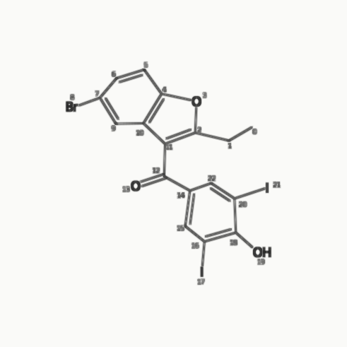 CCc1oc2ccc(Br)cc2c1C(=O)c1cc(I)c(O)c(I)c1